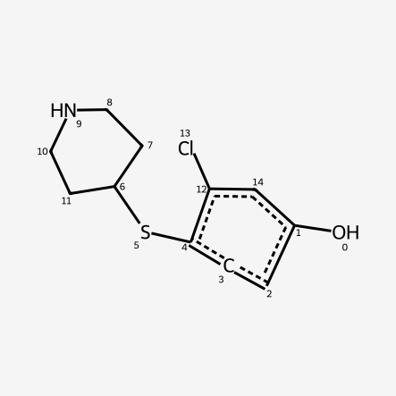 Oc1ccc(SC2CCNCC2)c(Cl)c1